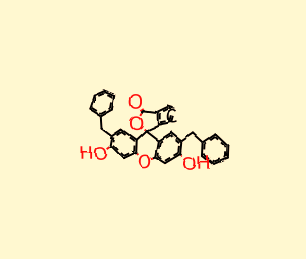 O=C1OC2(c3cc(Cc4ccccc4)c(O)cc3Oc3cc(O)c(Cc4ccccc4)cc32)c2ccccc21